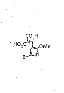 COc1ncc(Br)cc1CN(C(=O)O)C(=O)O